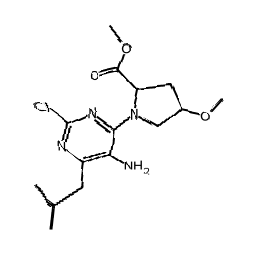 COC(=O)C1CC(OC)CN1c1nc(Cl)nc(CC(C)C)c1N